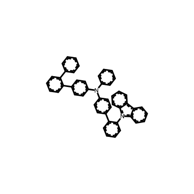 c1ccc(-c2ccccc2-c2ccc(N(c3ccccc3)c3ccc(-c4ccccc4-n4c5ccccc5c5ccccc54)cc3)cc2)cc1